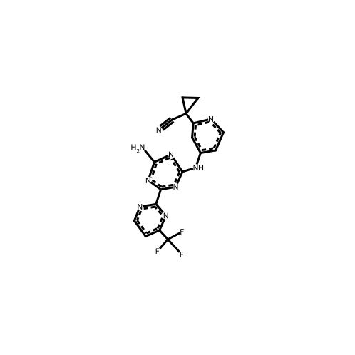 N#CC1(c2cc(Nc3nc(N)nc(-c4nccc(C(F)(F)F)n4)n3)ccn2)CC1